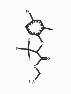 CCOC(=O)C(Oc1ccc(Br)cc1F)C(F)(F)F